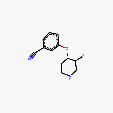 N#Cc1cccc(O[C@H]2CCNC[C@@H]2F)c1